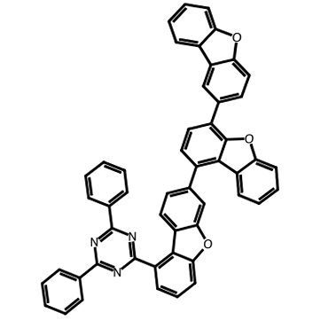 c1ccc(-c2nc(-c3ccccc3)nc(-c3cccc4oc5cc(-c6ccc(-c7ccc8oc9ccccc9c8c7)c7oc8ccccc8c67)ccc5c34)n2)cc1